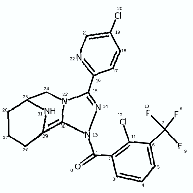 O=C(c1cccc(C(F)(F)F)c1Cl)N1N=C(c2ccc(Cl)cn2)N2CC3CCCC(=C21)N3